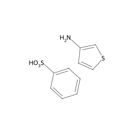 Nc1ccsc1.O=S(=O)(O)c1ccccc1